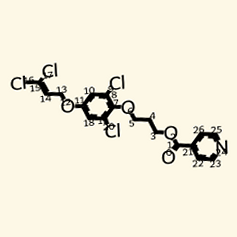 O=C(OCCCOc1c(Cl)cc(OCC=C(Cl)Cl)cc1Cl)c1ccncc1